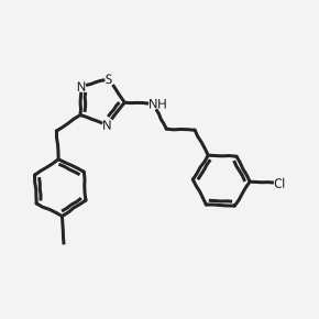 Cc1ccc(Cc2nsc(NCCc3cccc(Cl)c3)n2)cc1